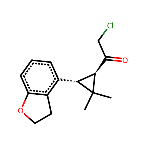 CC1(C)[C@H](C(=O)CCl)[C@H]1c1cccc2c1CCO2